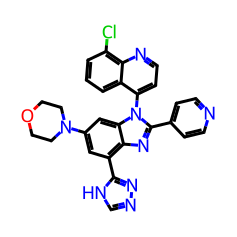 Clc1cccc2c(-n3c(-c4ccncc4)nc4c(-c5nnc[nH]5)cc(N5CCOCC5)cc43)ccnc12